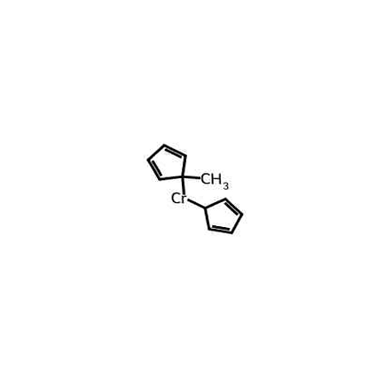 C[C]1([Cr][CH]2C=CC=C2)C=CC=C1